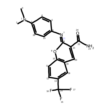 CN(C)c1ccc(/N=c2\oc3ccc(C(F)(F)F)cc3cc2C(N)=O)cc1